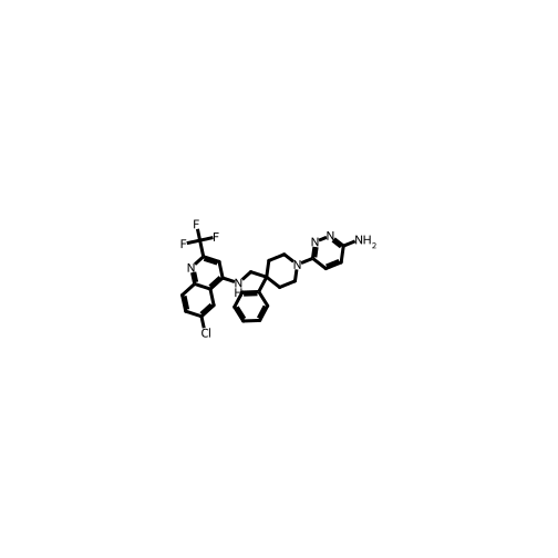 Nc1ccc(N2CCC(CNc3cc(C(F)(F)F)nc4ccc(Cl)cc34)(c3ccccc3)CC2)nn1